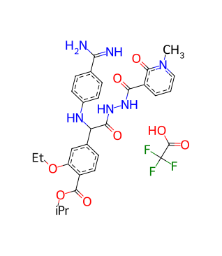 CCOc1cc(C(Nc2ccc(C(=N)N)cc2)C(=O)NNC(=O)c2cccn(C)c2=O)ccc1C(=O)OC(C)C.O=C(O)C(F)(F)F